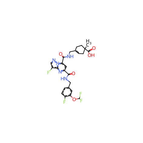 CC1(C(=O)O)CC=C(CNC(=O)c2cc(C(=O)NCc3ccc(F)c(OC(F)F)c3)nc3c(F)cnn23)CC1